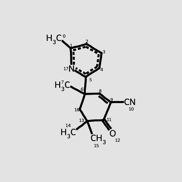 Cc1cccc(C2(C)C=C(C#N)C(=O)C(C)(C)C2)n1